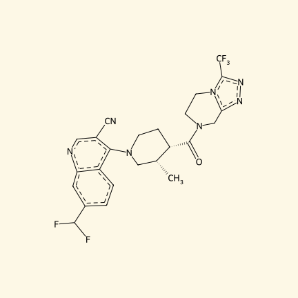 C[C@@H]1CN(c2c(C#N)cnc3cc(C(F)F)ccc23)CC[C@@H]1C(=O)N1CCn2c(nnc2C(F)(F)F)C1